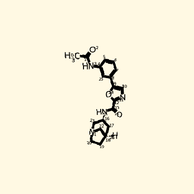 CC(=O)Nc1cccc(-c2cnc(C(=O)N[C@@H]3C[C@H]4CCN(C4)C3)o2)c1